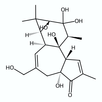 CC1=C[C@H]2[C@@]3(O)[C@H](C)C(O)(O)[C@]4(O)[C@@H]([C@@H]3C=C(CO)C[C@]2(O)C1=O)C4(C)C